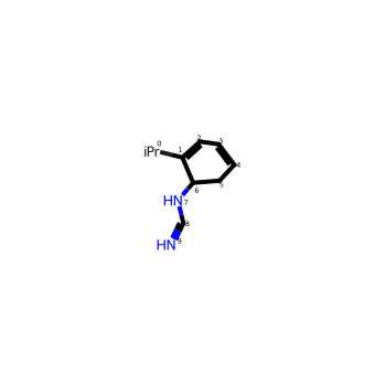 CC(C)C1=CC=CCC1NC=N